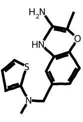 CC1=C(N)Nc2cc(CN(C)c3cccs3)ccc2O1